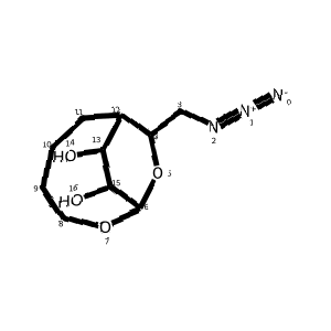 [N-]=[N+]=NCC1OC2OCCCCC1C(O)C2O